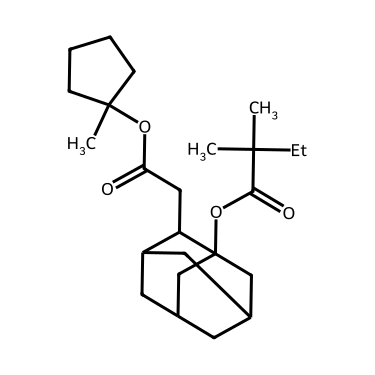 CCC(C)(C)C(=O)OC12CC3CC(CC(C3)C1CC(=O)OC1(C)CCCC1)C2